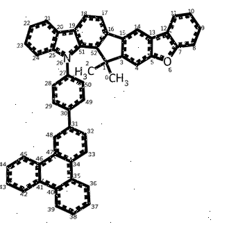 CC1(C)c2cc3oc4ccccc4c3cc2-c2ccc3c4ccccc4n(-c4ccc(-c5ccc6c7ccccc7c7ccccc7c6c5)cc4)c3c21